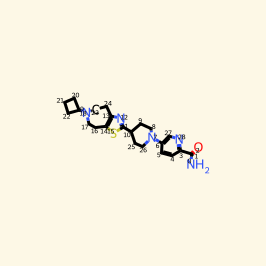 NC(=O)c1ccc(N2CCC(c3nc4c(s3)CCN(C3CCC3)CC4)CC2)cn1